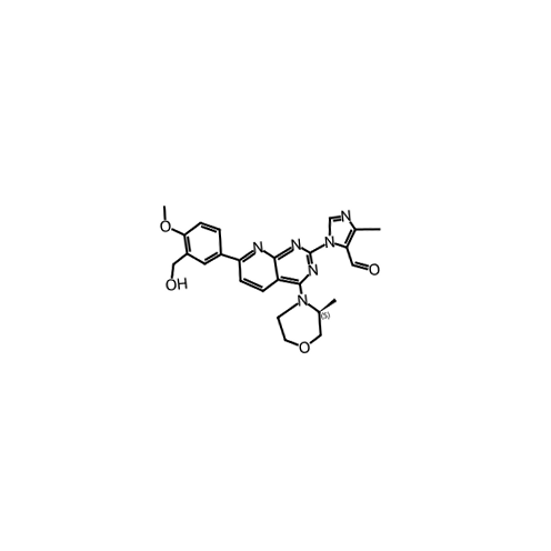 COc1ccc(-c2ccc3c(N4CCOC[C@@H]4C)nc(-n4cnc(C)c4C=O)nc3n2)cc1CO